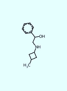 CC1CC(NCC(O)c2ccccc2)C1